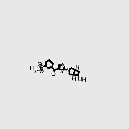 CS(=O)(=O)c1cccc(C(=O)c2cnc(N3C[C@H]4C[C@@H](O)[C@H]4C3)s2)c1